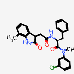 Cc1cccc2c1NC(=O)C2CC(=O)N[C@@H](Cc1ccccc1)C(=O)N(C)c1cccc(Cl)c1